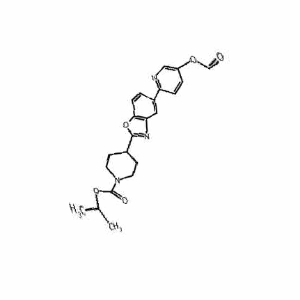 CC(C)OC(=O)N1CCC(c2nc3cc(-c4ccc(OC=O)cn4)ccc3o2)CC1